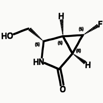 O=C1N[C@H](CO)[C@H]2[C@H](F)[C@@H]12